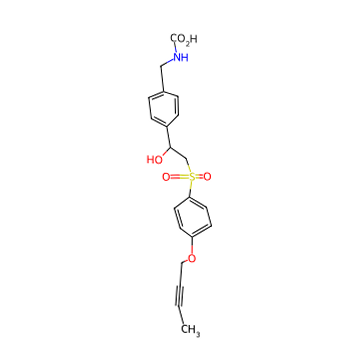 CC#CCOc1ccc(S(=O)(=O)CC(O)c2ccc(CNC(=O)O)cc2)cc1